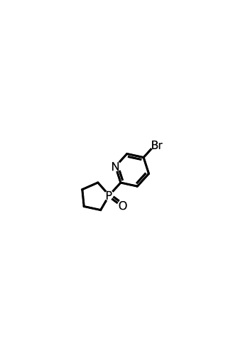 O=P1(c2ccc(Br)cn2)CCCC1